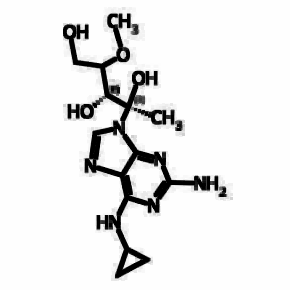 COC(CO)[C@@H](O)[C@@](C)(O)n1cnc2c(NC3CC3)nc(N)nc21